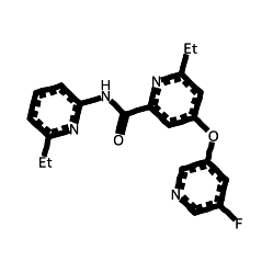 CCc1cccc(NC(=O)c2cc(Oc3cncc(F)c3)cc(CC)n2)n1